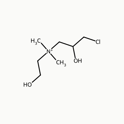 C[N+](C)(CCO)CC(O)CCl